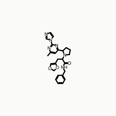 Cc1cc(C2CCCN2C(CC2=COCO2)C(=O)NCc2ccccc2)nc(-n2ccnc2)n1